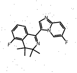 CC1(C)N=C(c2cnc3ccc(F)cn23)c2cccc(F)c2C1(C)C